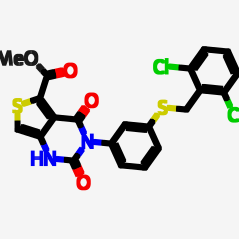 COC(=O)c1scc2[nH]c(=O)n(-c3cccc(SCc4c(Cl)cccc4Cl)c3)c(=O)c12